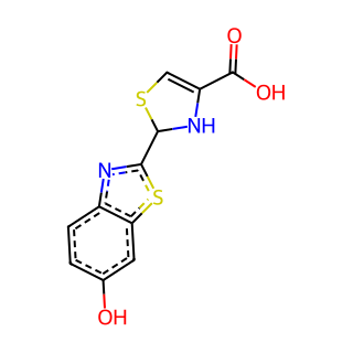 O=C(O)C1=CSC(c2nc3ccc(O)cc3s2)N1